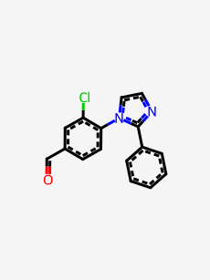 O=Cc1ccc(-n2ccnc2-c2ccccc2)c(Cl)c1